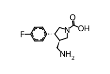 NC[C@@H]1CN(C(=O)O)C[C@H]1c1ccc(F)cc1